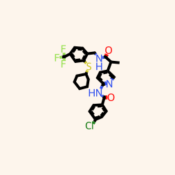 CC(C(=O)NCc1ccc(C(F)(F)F)cc1SC1CCCCC1)c1ccc(NC(=O)c2ccc(Cl)cc2)nc1